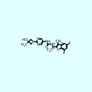 Cc1c([C@H](NC(=O)Nc2cnc(N3CC(C)(O)C3)nc2)C(F)(F)F)oc2c(F)cc(F)cc12